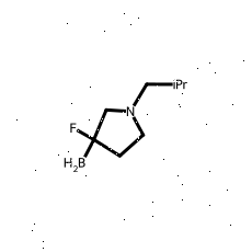 BC1(F)CCN(CC(C)C)C1